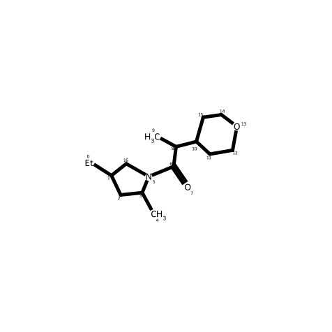 CCC1CC(C)N(C(=O)C(C)C2CCOCC2)C1